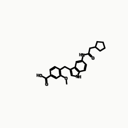 COc1cc(C(=O)O)ccc1Cc1c[nH]c2ccc(NC(=O)CC3CCCC3)cc12